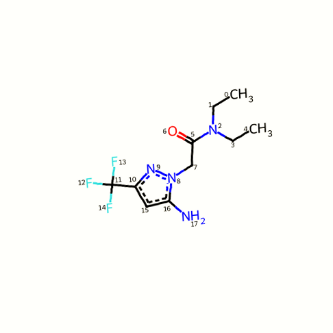 CCN(CC)C(=O)Cn1nc(C(F)(F)F)cc1N